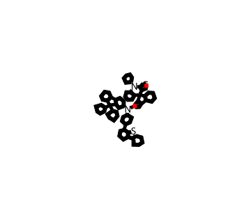 c1ccc(N2c3ccccc3C3(c4ccccc4-c4ccc(N(c5ccc(-c6cccc7c6sc6ccccc67)cc5)c5ccc6c(c5)C(c5ccccc5)(c5ccccc5)c5ccccc5-6)cc43)c3ccccc32)cc1